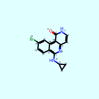 O=c1[nH]ccc2nc(NC3CC3)c3ccc(Br)cc3c12